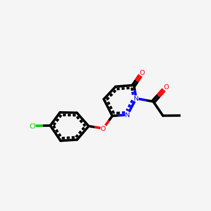 CCC(=O)n1nc(Oc2ccc(Cl)cc2)ccc1=O